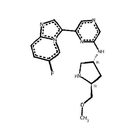 COC[C@@H]1C[C@@H](Nc2cncc(-c3cnc4ccc(F)cn34)n2)CN1